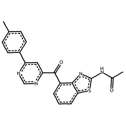 CC(=O)Nc1nc2c(C(=O)c3cc(-c4ccc(C)cc4)ncn3)cccc2s1